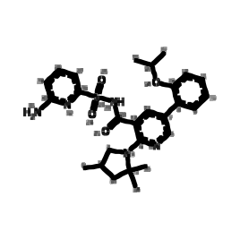 CC1CN(c2ncc(-c3ccccc3OC(C)C)cc2C(=O)NS(=O)(=O)c2cccc(N)n2)C(C)(C)C1